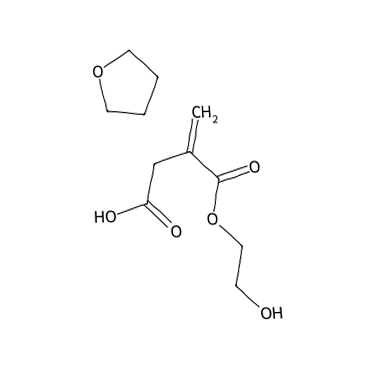 C1CCOC1.C=C(CC(=O)O)C(=O)OCCO